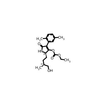 CCOC(=O)OC1=C(c2cc(C)ccc2C)C(=O)N[C@@H]1CC[C@H](C)CO